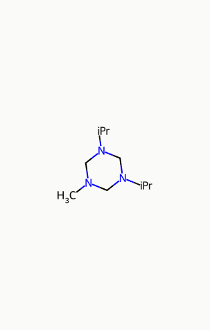 CC(C)N1CN(C)CN(C(C)C)C1